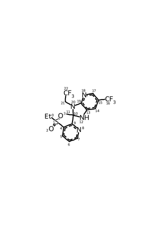 CCS(=O)(=O)c1cccnc1C1(C)Nc2cc(C(F)(F)F)cnc2N1CC(F)(F)F